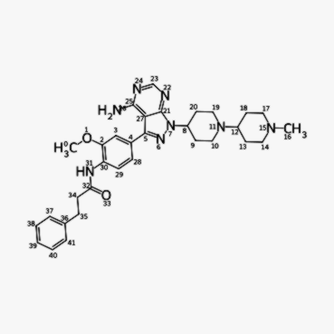 COc1cc(-c2nn(C3CCN(C4CCN(C)CC4)CC3)c3ncnc(N)c23)ccc1NC(=O)CCc1ccccc1